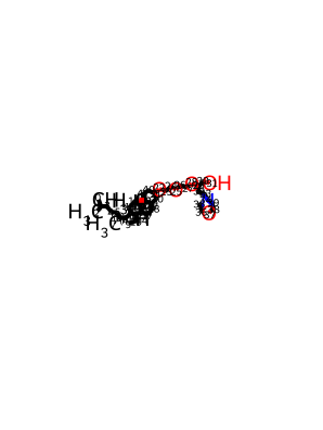 CC(C)CCC[C@@H](C)[C@H]1CC[C@@H]2C1CC[C@H]1[C@H]2CC=C2CC(OCCOCCOC(CO)CCN3CCOCC3)CC[C@@]21C